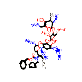 CCC(C1CCC(N=[N+]=[N-])C(OC2C(N=[N+]=[N-])CC(N=[N+]=[N-])C(O)C2OC2OC(CO)C(OC3OC(CN=[N+]=[N-])C(O)C(C)C3N=[N+]=[N-])C2O)O1)N(Cc1ccccc1)C(=O)OCc1ccccc1